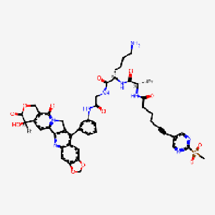 CC[C@@]1(O)C(=O)OCc2c1cc1n(c2=O)Cc2c-1nc1cc3c(cc1c2-c1cccc(NC(=O)CNC(=O)[C@H](CCCCN)NC(=O)[C@@H](NC(=O)CCCC#Cc2cnc(S(C)(=O)=O)nc2)C(C)C)c1)OCO3